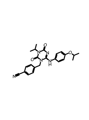 CC(C)Oc1ccc(Nc2nc(=O)n(C(C)C)c(=O)n2Cc2ccc(C#N)cc2)cc1